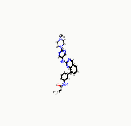 C=CC(=O)Nc1cccc(-c2cccc3cnc(Nc4cnc(N5CCN(C)CC5)nc4)nc23)c1